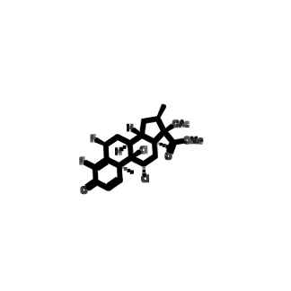 COC(=O)[C@@]1(OC(C)=O)[C@H](C)C[C@H]2[C@@H]3C[C@H](F)C4=C(F)C(=O)C=C[C@]4(C)[C@@]3(Cl)[C@@H](Cl)C[C@@]21C